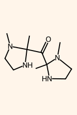 CN1CCNC1(C)C(=O)C1(C)NCCN1C